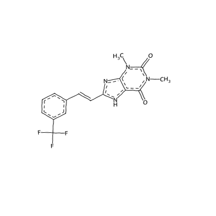 Cn1c(=O)c2[nH]c(C=Cc3cccc(C(F)(F)F)c3)nc2n(C)c1=O